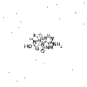 CC(C)(C)[C@]1(Cn2c(=O)[nH]c3c(N)ncnc32)CCCN1C(=O)O